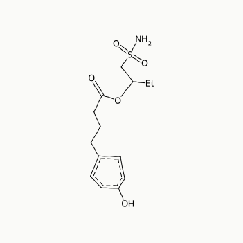 CCC(CS(N)(=O)=O)OC(=O)CCCc1ccc(O)cc1